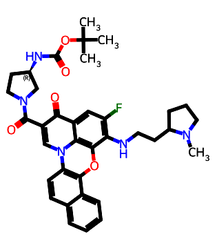 CN1CCCC1CCNc1c(F)cc2c(=O)c(C(=O)N3CC[C@@H](NC(=O)OC(C)(C)C)C3)cn3c2c1Oc1c-3ccc2ccccc12